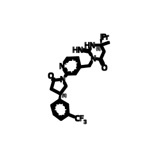 CC(C)[C@]1(C)CC(=O)N(Cc2ccnc(N3C[C@@H](c4cccc(C(F)(F)F)c4)CC3=O)c2)C(=N)N1